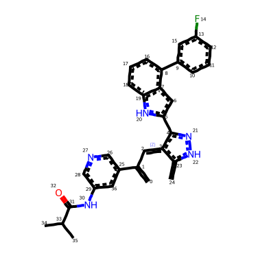 C=C(/C=c1/c(-c2cc3c(-c4cccc(F)c4)cccc3[nH]2)n[nH]c1=C)c1cncc(NC(=O)C(C)C)c1